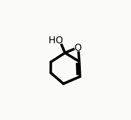 OC12CCCC=C1O2